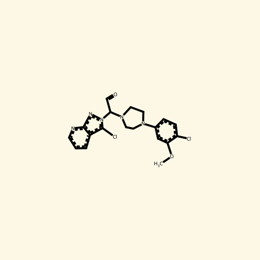 COc1cc(N2CCN(C(C=O)n3nc4ncccc4c3Cl)CC2)ccc1Cl